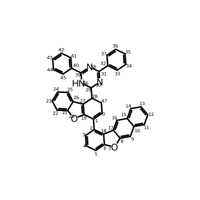 C1=C(c2cccc3oc4cc5ccccc5cc4c23)c2oc3ccccc3c2C(C2N=C(c3ccccc3)N=C(c3ccccc3)N2)C1